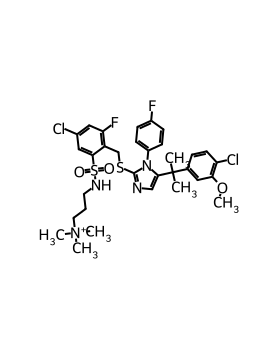 COc1cc(C(C)(C)c2cnc(SCc3c(F)cc(Cl)cc3S(=O)(=O)NCCC[N+](C)(C)C)n2-c2ccc(F)cc2)ccc1Cl